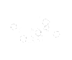 Nc1nc(-n2nc(Cc3ccccc3F)c3ncc(F)cc32)nc(N)c1N(Cc1ccccc1CS(=O)(=O)c1ccccc1)C(=O)O